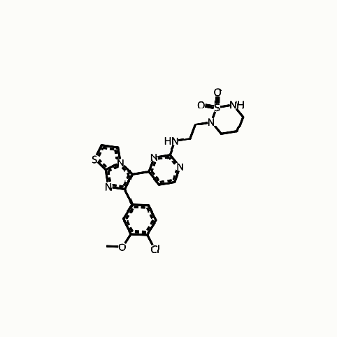 COc1cc(-c2nc3sccn3c2-c2ccnc(NCCN3CCCNS3(=O)=O)n2)ccc1Cl